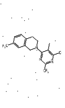 Cc1c(Cl)nc(C(F)(F)F)nc1N1CCc2ccc(C(F)(F)F)cc2C1